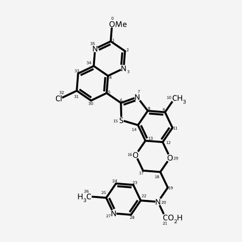 COc1cnc2c(-c3nc4c(C)cc5c(c4s3)OCC(CN(C(=O)O)c3ccc(C)nc3)O5)cc(Cl)cc2n1